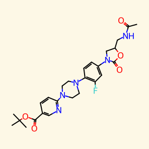 CC(=O)NCC1CN(c2ccc(N3CCN(c4ccc(C(=O)OC(C)(C)C)cn4)CC3)c(F)c2)C(=O)O1